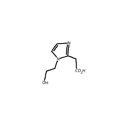 O=C(O)Cc1nccn1CCO